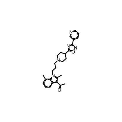 CC(=O)c1c(C)n(CCCN2CCC(c3nc(-c4cccnc4)no3)CC2)c2c(C)cccc12